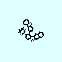 CC1(C)OB(c2ccc3oc4cc5ccccc5cc4c3c2-c2ccc3oc4ccccc4c3c2)OC1(C)C